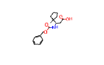 CC1(C(CC(=O)O)NC(=O)OCc2ccccc2)CCCC1